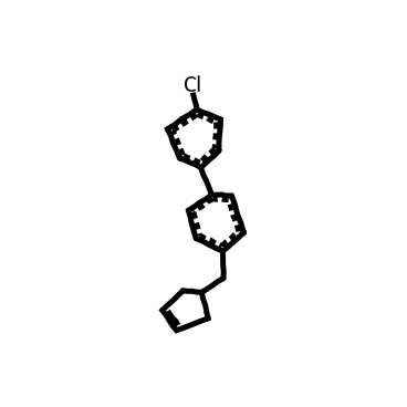 Clc1ccc(-c2ccc(CC3CC=CC3)cc2)cc1